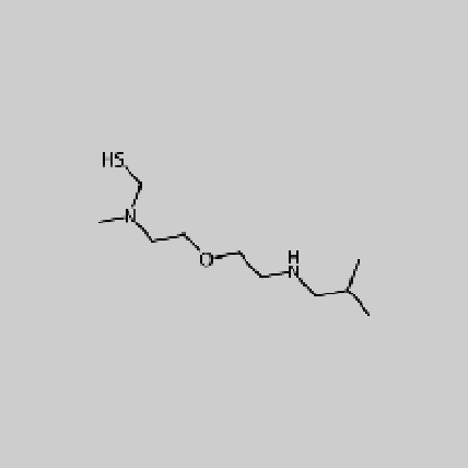 CC(C)CNCCOCCN(C)CS